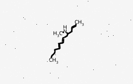 CC=CCC(CC=CC=CCCCC)NC